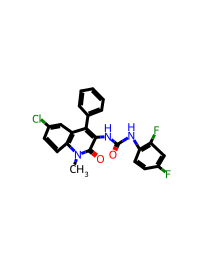 Cn1c(=O)c(NC(=O)Nc2ccc(F)cc2F)c(-c2ccccc2)c2cc(Cl)ccc21